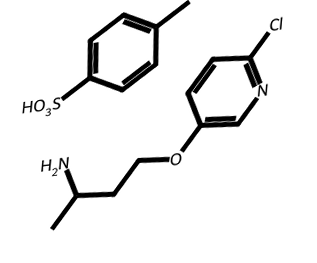 CC(N)CCOc1ccc(Cl)nc1.Cc1ccc(S(=O)(=O)O)cc1